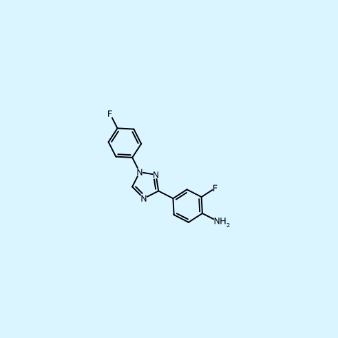 Nc1ccc(-c2ncn(-c3ccc(F)cc3)n2)cc1F